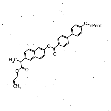 C=CCOC(=O)[C@@H](C)c1ccc2cc(OC(=O)c3ccc(-c4ccc(OCCCCC)cc4)cc3)ccc2c1